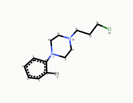 CCc1ccccc1N1CCN(CCCCl)CC1